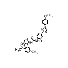 COc1ccc(-n2cnc(-c3ccc(NC(=O)/N=C4\SCC(=O)N4c4cc(C)ccc4C(C)C)c(F)c3)n2)cc1